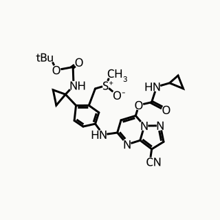 C[S+]([O-])Cc1cc(Nc2cc(OC(=O)NC3CC3)n3ncc(C#N)c3n2)ccc1C1(NC(=O)OC(C)(C)C)CC1